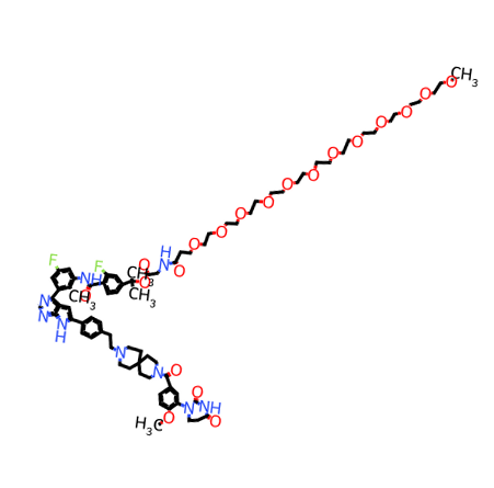 COCCOCCOCCOCCOCCOCCOCCOCCOCCOCCOCCOCCC(=O)NCC(=O)OC(C)(C)c1ccc(C(=O)Nc2cc(F)cc(-c3ncnc4[nH]c(-c5ccc(CCN6CCC7(CC6)CCN(C(=O)c6ccc(OC)c(N8CCC(=O)NC8=O)c6)CC7)cc5)cc34)c2C)c(F)c1